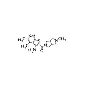 Cc1nnc2sc(C(=O)N3CC4CN(C)CC4C3)c(N)c2c1C